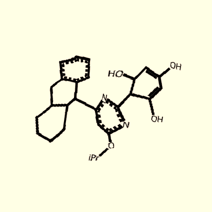 CC(C)Oc1cc(C2c3ccccc3CC3CCCCC32)nc(C2C(O)=CC(O)=CC2O)n1